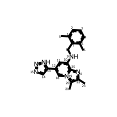 Cc1cccc(C)c1CNc1cc(-c2cnn[nH]2)cn2c(C)c(C)nc12